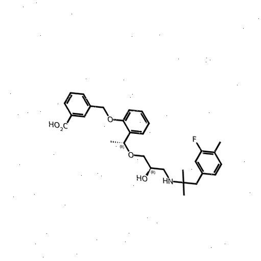 Cc1ccc(CC(C)(C)NC[C@@H](O)CO[C@H](C)c2ccccc2OCc2cccc(C(=O)O)c2)cc1F